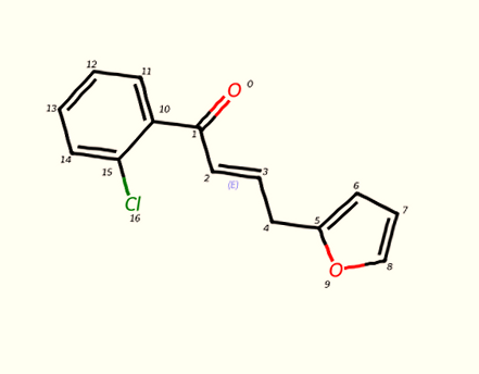 O=C(/C=C/Cc1ccco1)c1ccccc1Cl